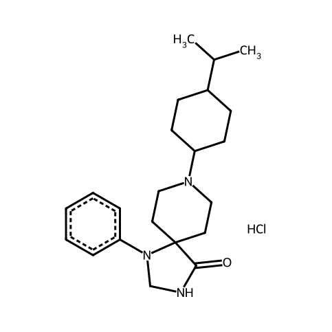 CC(C)C1CCC(N2CCC3(CC2)C(=O)NCN3c2ccccc2)CC1.Cl